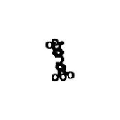 C=C1OC(=O)c2ccc(Cc3ccc4c(c3)C(=O)OC4=O)cc21